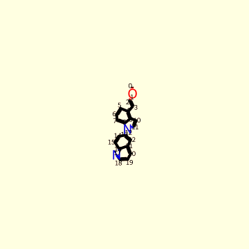 CO/C=C/c1cccc2c1ccn2-c1ccc2ncccc2c1